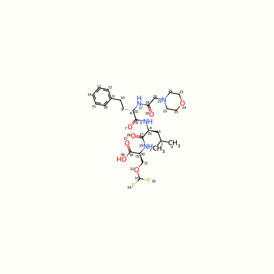 CC(C)C[C@H](NC(=O)[C@H](CCc1ccccc1)NC(=O)CN1CCOCC1)C(=O)N[C@@H](COC(F)F)C(=O)O